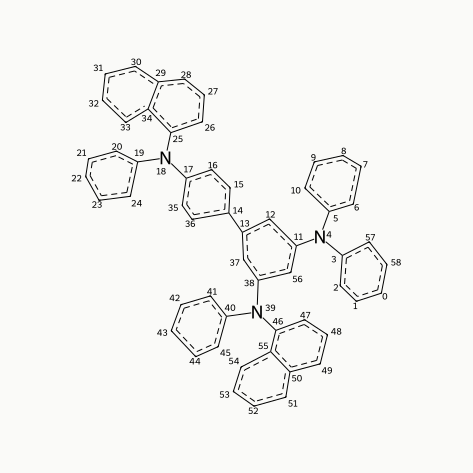 c1ccc(N(c2ccccc2)c2cc(-c3ccc(N(c4ccccc4)c4cccc5ccccc45)cc3)cc(N(c3ccccc3)c3cccc4ccccc34)c2)cc1